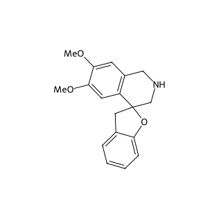 COc1cc2c(cc1OC)C1(CNC2)Cc2ccccc2O1